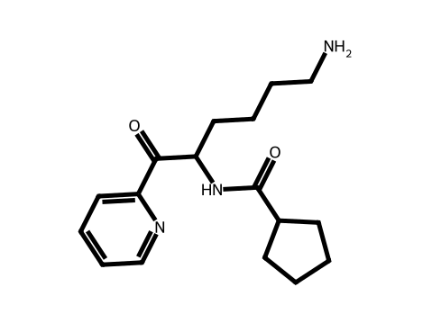 NCCCCC(NC(=O)C1CCCC1)C(=O)c1ccccn1